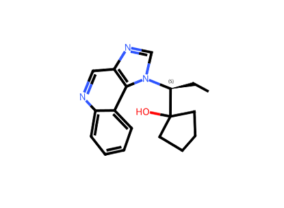 CC[C@H](n1cnc2cnc3ccccc3c21)C1(O)CCCC1